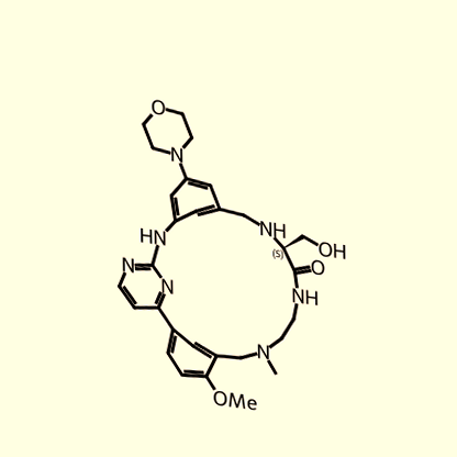 COc1ccc2cc1CN(C)CCNC(=O)[C@H](CO)NCc1cc(cc(N3CCOCC3)c1)Nc1nccc-2n1